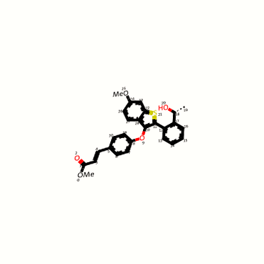 COC(=O)C=Cc1ccc(Oc2c(-c3ccccc3[C@@H](C)O)sc3cc(OC)ccc23)cc1